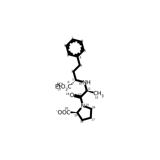 CCOC(=O)[C@H](CCc1ccccc1)N[C@@H](C)C(=O)N1CCC[C@H]1C(=O)[O-].[K+]